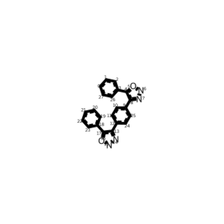 c1ccc(-c2onnc2-c2ccc(-c3nnoc3-c3ccccc3)cc2)cc1